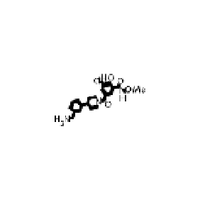 CONC(=O)c1cc(C(=O)N2CCC(c3cccc(CN)c3)CC2)cc(Cl)c1O